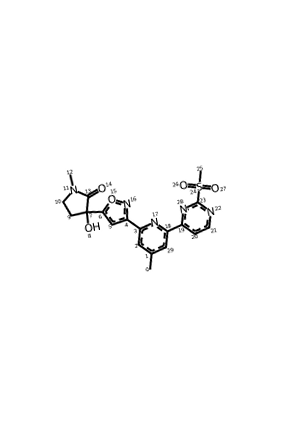 Cc1cc(-c2cc(C3(O)CCN(C)C3=O)on2)nc(-c2ccnc(S(C)(=O)=O)n2)c1